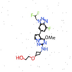 COc1nc(NC2CC(OCCO)C2)nn2ccc(-c3cc(F)c4nnn(CC(F)F)c4c3)c12